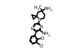 CC1(N)CCN(c2cnc(-c3cccc(Cl)c3Cl)c(N)n2)C2(CC2)C1